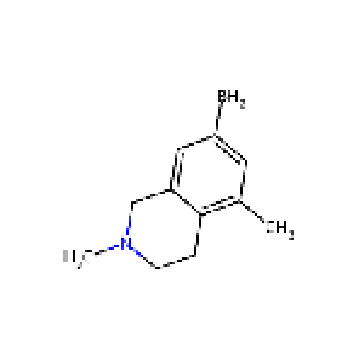 Bc1cc(C)c2c(c1)CN(C)CC2